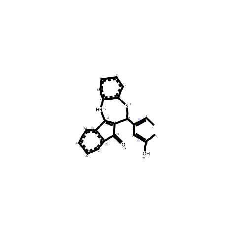 C/C=C(\C=C(/C)O)C1Sc2ccccc2NC2=C1C(=O)c1ccccc12